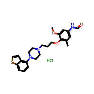 COc1cc(NC=O)cc(C)c1OCCCN1CCN(c2cccc3sccc23)CC1.Cl